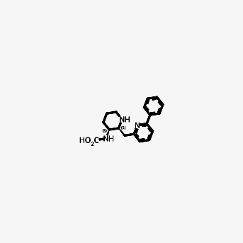 O=C(O)N[C@H]1CCCN[C@H]1Cc1cccc(-c2ccccc2)n1